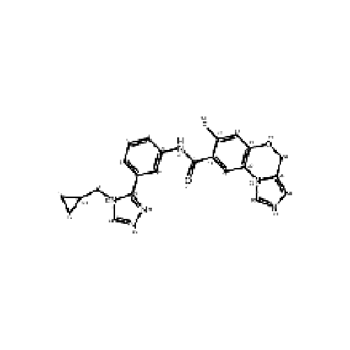 O=C(Nc1cccc(-c2nncn2CC2CC2)c1)c1cc2c(cc1F)OCc1cncn1-2